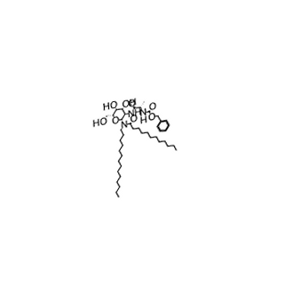 CCCCCCCCCCCCCCN(C(=O)CCCCCCCCCCC)[C@@H]1O[C@H](CO)[C@H](O)[C@H](O)[C@H]1NC(=O)[C@H](C)NC(=O)OCc1ccccc1